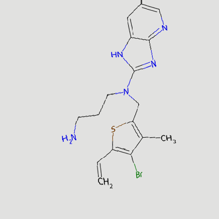 C=Cc1sc(CN(CCCN)c2nc3ncccc3[nH]2)c(C)c1Br